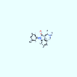 CC(=C1C(=O)N(c2cccc(C)c2)c2ccccc21)N(C)C